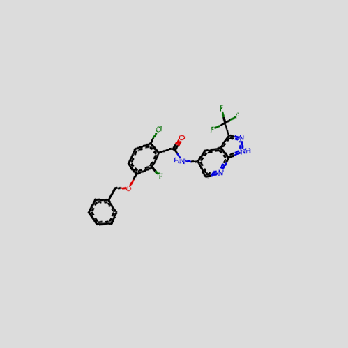 O=C(Nc1cnc2[nH]nc(C(F)(F)F)c2c1)c1c(Cl)ccc(OCc2ccccc2)c1F